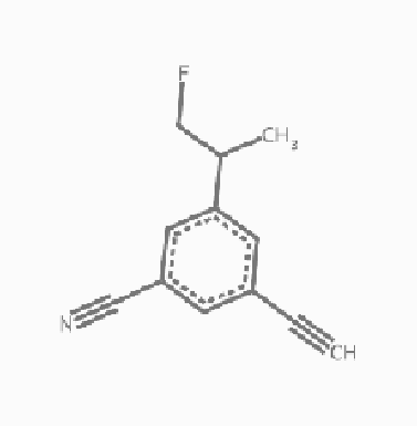 C#Cc1cc(C#N)cc([C](C)CF)c1